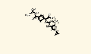 C=N/C(=N\C(=C(/C)Cl)c1ccc(C(=O)N[C@@H](C)C#N)nc1)Nc1cnn(C2CC2)c1